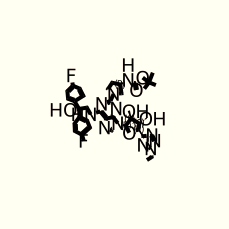 CCn1nnc([C@H]2O[C@@H](n3cnc4c(NCC(O)(c5ccc(F)cc5)c5ccc(F)cc5)nc(N5CC[C@@H](NC(=O)OC(C)(C)C)C5)nc43)[C@@H](O)[C@@H]2O)n1